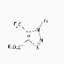 CCOC(=O)c1nnn(C(C)C)c1C(F)(F)F